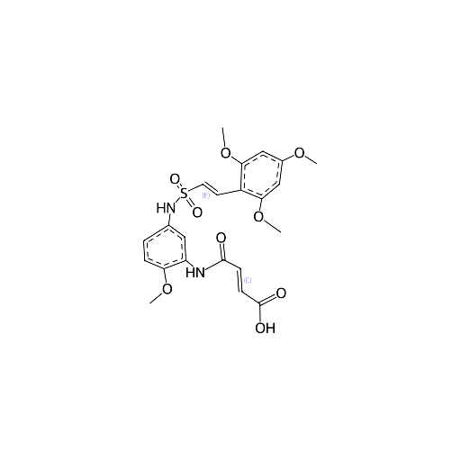 COc1cc(OC)c(/C=C/S(=O)(=O)Nc2ccc(OC)c(NC(=O)/C=C/C(=O)O)c2)c(OC)c1